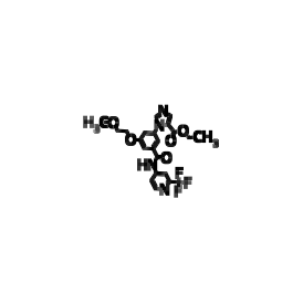 CCOC(=O)c1cncn1-c1cc(OCCOC)cc(C(=O)Nc2ccnc(C(F)(F)F)c2)c1